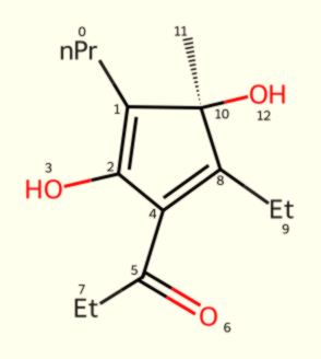 CCCC1=C(O)C(C(=O)CC)=C(CC)[C@]1(C)O